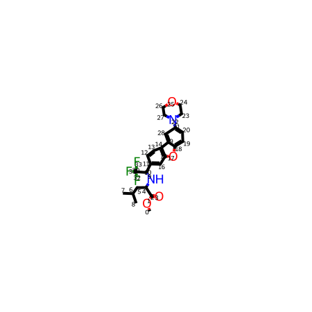 COC(=O)C(CC(C)C)NC(c1ccc2c(c1)oc1ccc(N3CCOCC3)cc12)C(F)(F)F